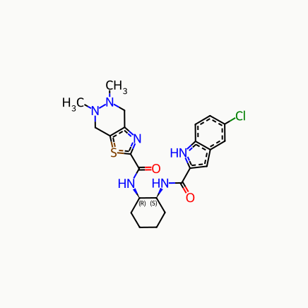 CN1Cc2nc(C(=O)N[C@@H]3CCCC[C@@H]3NC(=O)c3cc4cc(Cl)ccc4[nH]3)sc2CN1C